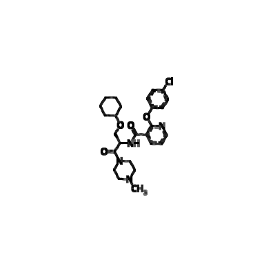 CN1CCN(C(=O)[C@@H](COC2CCCCC2)NC(=O)c2cccnc2Oc2ccc(Cl)cc2)CC1